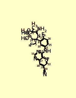 CC1(C)C(N)=N[C@](CF)(c2cc(Nc3ncnc4cc(C#N)cnc34)ccc2F)CS1(O)O